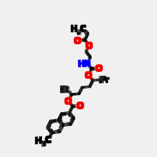 C=CC(=O)OCCNC(=O)OC(CCCC(CC)OC(=O)c1ccc2cc(C)ccc2c1)C(C)C